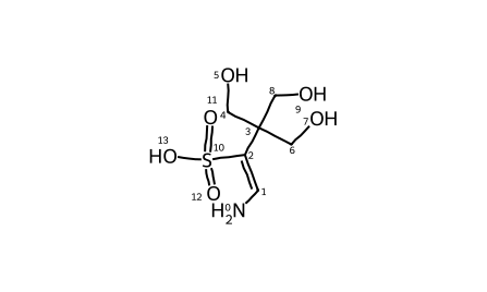 NC=C(C(CO)(CO)CO)S(=O)(=O)O